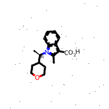 Cc1c(C(=O)O)c2ccccc2n1[C@H](C)C1CCOCC1